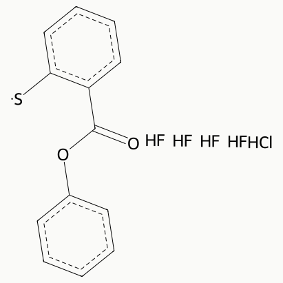 Cl.F.F.F.F.O=C(Oc1ccccc1)c1ccccc1[S]